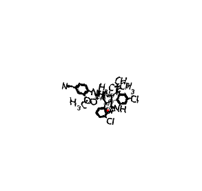 COc1cc(C#N)ccc1NC(=O)[C@@H]1N[C@@H](CC(C)(C)C)[C@@]2(C(=O)Nc3cc(Cl)cc(F)c32)[C@H]1c1cccc(Cl)c1F